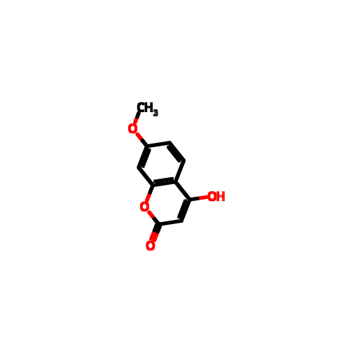 COc1ccc2c(O)cc(=O)oc2c1